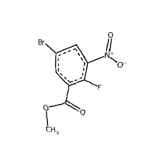 COC(=O)c1cc(Br)cc([N+](=O)[O-])c1F